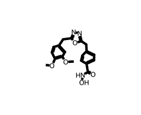 COc1ccc(Cc2nnc(Cc3ccc(C(=O)NO)cc3)o2)cc1OC